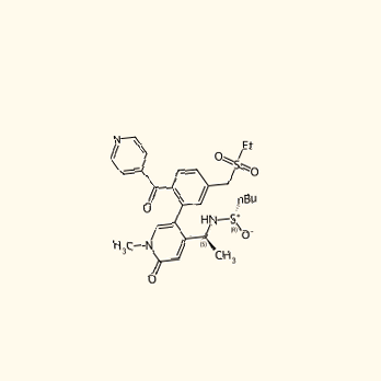 CCCC[S@+]([O-])N[C@@H](C)c1cc(=O)n(C)cc1-c1cc(CS(=O)(=O)CC)ccc1C(=O)c1ccncc1